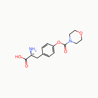 N[C@@H](Cc1ccc(OC(=O)N2CCOCC2)cc1)C(=O)O